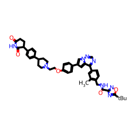 Cc1cc(-c2ncnn3cc(-c4ccc(OCCN5CCC(c6ccc(C7CCC(=O)NC7=O)cc6)CC5)cc4)cc23)ccc1CNC(=O)c1noc(C(C)(C)C)n1